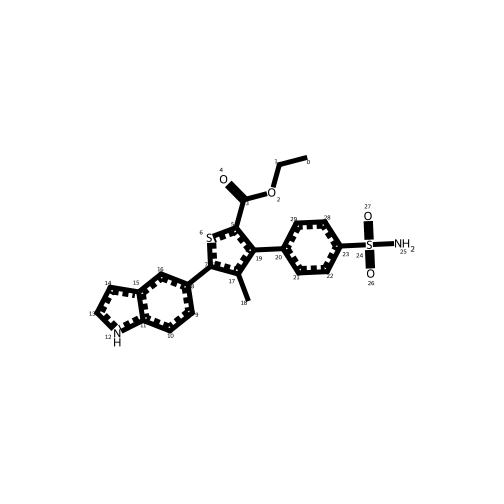 CCOC(=O)c1sc(-c2ccc3[nH]ccc3c2)c(C)c1-c1ccc(S(N)(=O)=O)cc1